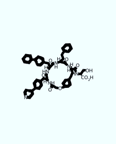 O=C1COc2ccc(cc2)C[C@@H](C(=O)N[C@@H](CO)C(=O)O)NC(=O)[C@H](CCc2ccccc2)NC(=O)[C@@H](Cc2ccc(-c3ccccc3)cc2)NC(=O)[C@H](Cc2ccc(-c3ccncc3)cc2)N1